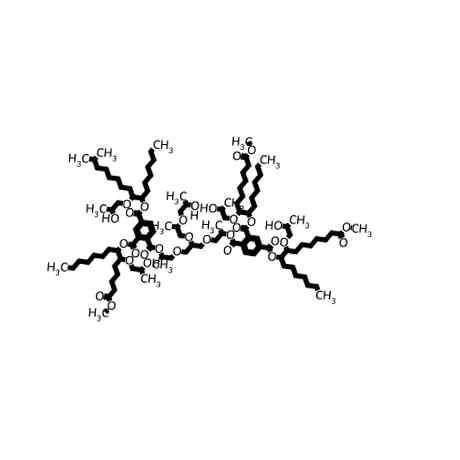 CCCCCCCC(OC(=O)c1ccc(C(=O)OC(C)COCC(COCC(C)OC(=O)c2ccc(C(=O)OC(CCCCCCC)C(CCCCCCC(C)C)OCC(C)O)cc2C(=O)OC(CCCCCCC)C(CCCCC(=O)OC)OCC(C)O)OCC(C)OCC(C)O)c(C(=O)OC(CCCCCCC)C(CCCCCCC(=O)OC)OCC(C)O)c1)C(CCCCCCC(=O)OC)OCC(C)O